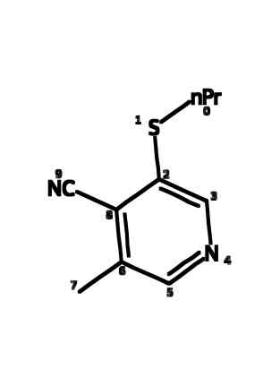 CCCSc1cncc(C)c1C#N